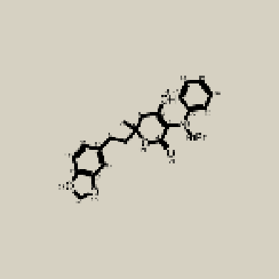 CCCN(C1=C(O)CC(C)(CCc2ccc3c(c2)OCO3)OC1=O)c1ccccc1